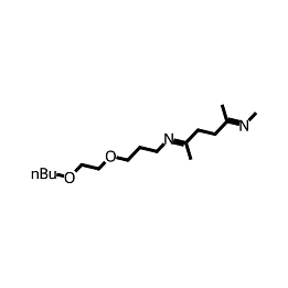 CCCCOCCOCCC/N=C(\C)CC/C(C)=N/C